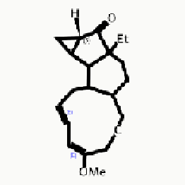 CCC12CCC3CCC/C(OC)=C\C=C\CC3C1C1C[C@@H]1C2=O